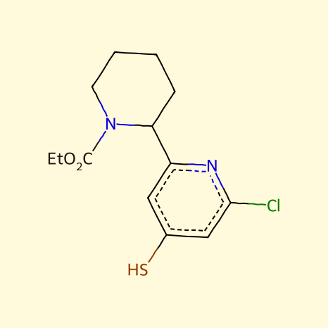 CCOC(=O)N1CCCCC1c1cc(S)cc(Cl)n1